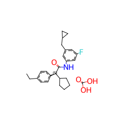 CCc1ccc([C@@H](C(=O)Nc2cc(F)cc(CC3CC3)c2)C2CCCC2)cc1.O=C(O)O